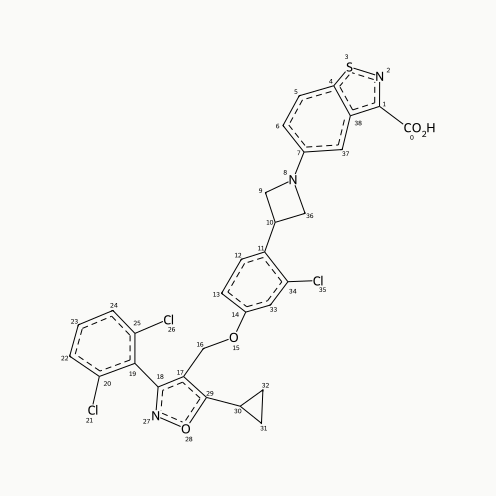 O=C(O)c1nsc2ccc(N3CC(c4ccc(OCc5c(-c6c(Cl)cccc6Cl)noc5C5CC5)cc4Cl)C3)cc12